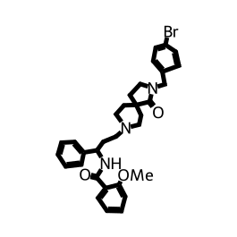 COc1ccccc1C(=O)NC(CCN1CCC2(CC1)CCN(Cc1ccc(Br)cc1)C2=O)c1ccccc1